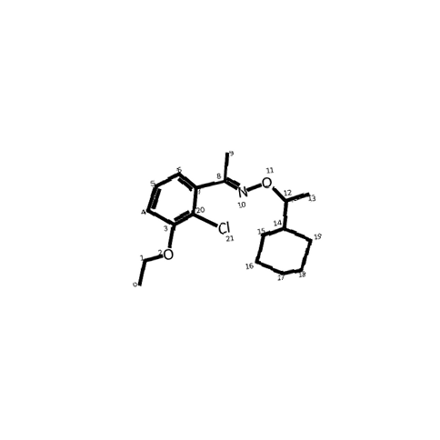 CCOc1cccc(/C(C)=N/OC(C)C2CCCCC2)c1Cl